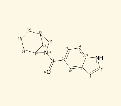 O=C(c1ccc2[nH]ccc2c1)N1CC2CCCC1C2